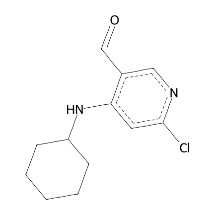 O=Cc1cnc(Cl)cc1NC1CCCCC1